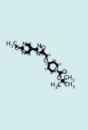 COc1ncc(-c2noc(COC3CCN(C(=O)OC(C)(C)C)CC3)n2)cn1